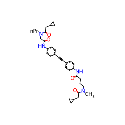 CCCN(CC(=O)Nc1ccc(C#Cc2ccc(NC(=O)CCCN(C)C(=O)CC3CC3)cc2)cc1)C(=O)CC1CC1